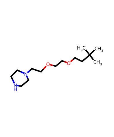 CC(C)(C)CCOCCOCCN1CCNCC1